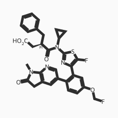 CN1C(=O)Cc2cc(-c3ccc(OCF)cc3-c3nc(N(C(=O)[C@@H](CC(=O)O)Cc4ccccc4)C4CC4)sc3F)cnc21